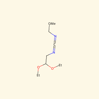 CCOC(CN=C=NCOC)OCC